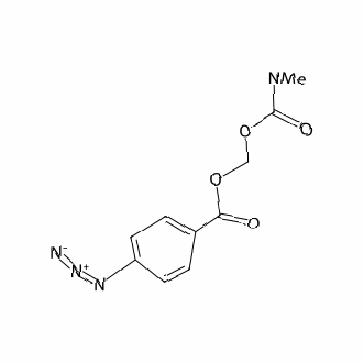 CNC(=O)OCOC(=O)c1ccc(N=[N+]=[N-])cc1